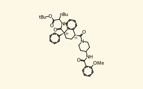 CCCCC(NC(=O)[C@@]1(c2ccccc2)CC[C@H](C(=O)N2CCC(NC(=O)c3ccccc3OC)CC2)c2ccccc21)C(=O)OC(C)(C)C